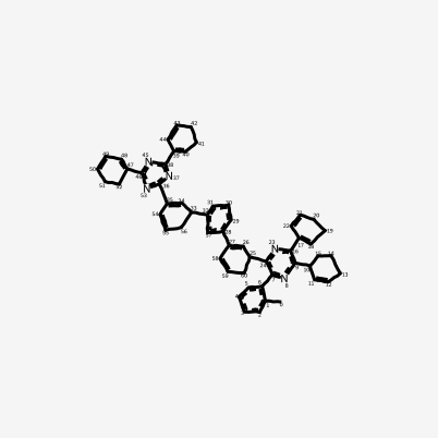 Cc1ccccc1-c1nc(C2C=CCCC2)c(C2=CCCC=C2)nc1C1C=C(c2cccc(C3C=C(c4nc(C5=CCCC=C5)nc(C5=CC=CCC5)n4)C=CC3)c2)C=CC1